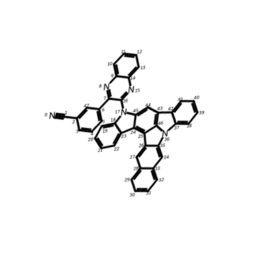 N#Cc1cccc(-c2nc3ccccc3nc2-n2c3ccccc3c3c4c5cc6ccccc6cc5n5c6ccccc6c(cc32)c45)c1